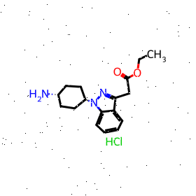 CCOC(=O)Cc1nn([C@H]2CC[C@@H](N)CC2)c2ccccc12.Cl